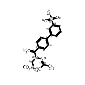 C=C(c1ccc(-c2cccc(S(=O)(=O)CC)c2)cc1)N(CC(=O)OCC)/N=C(\C)C(F)(F)F